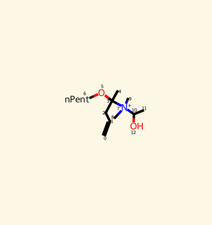 C=CCC(C)(OCCCCC)[N+](C)(C)C(C)O